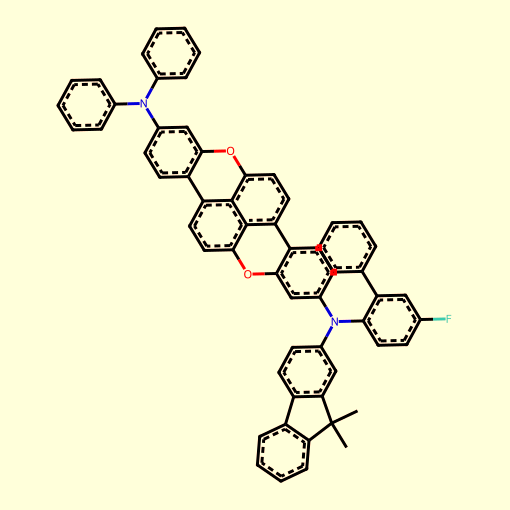 CC1(C)c2ccccc2-c2ccc(N(c3ccc4c(c3)Oc3ccc5c6c(ccc-4c36)Oc3cc(N(c4ccccc4)c4ccccc4)ccc3-5)c3ccc(F)cc3-c3ccccc3)cc21